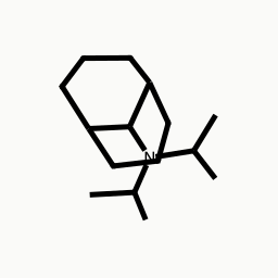 CC(C)N(C(C)C)C1C2CCCC1CCC2